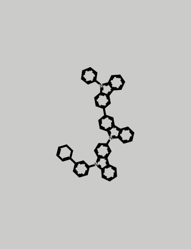 C1=CCCC(c2cccc(-n3c4ccccc4c4cc(-n5c6ccccc6c6cc(-c7ccc8c(c7)c7ccccc7n8-c7ccccc7)ccc65)ccc43)c2)=C1